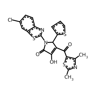 Cc1nc(C)c(C(=O)C2=C(O)C(=O)N(c3nc4ccc(Cl)cc4s3)C2c2cccs2)s1